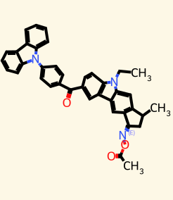 CCn1c2ccc(C(=O)c3ccc(-n4c5ccccc5c5ccccc54)cc3)cc2c2cc3c(cc21)C(C)C/C3=N\OC(C)=O